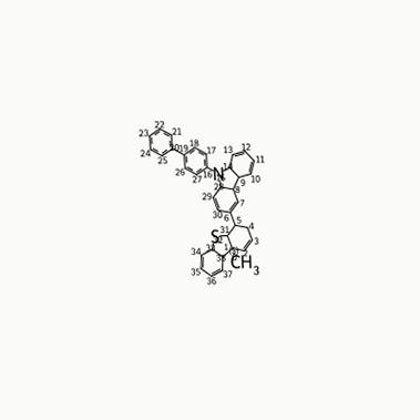 C[C@@]12C=CCC(C3=CC4C5C=CC=CC5N(c5ccc(-c6ccccc6)cc5)C4C=C3)C1SC1C=CC=CC12